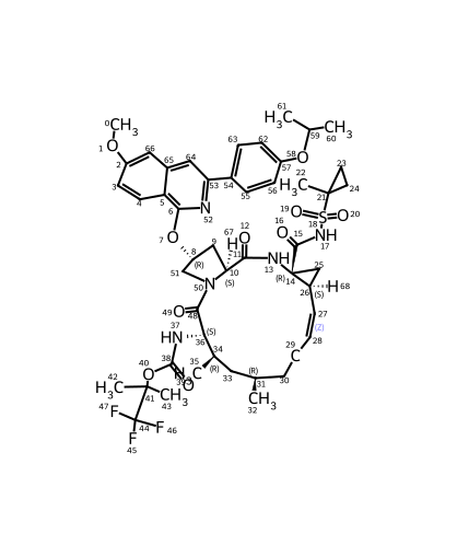 COc1ccc2c(O[C@@H]3C[C@H]4C(=O)N[C@]5(C(=O)NS(=O)(=O)C6(C)CC6)C[C@H]5/C=C\CC[C@@H](C)C[C@@H](C)[C@H](NC(=O)OC(C)(C)C(F)(F)F)C(=O)N4C3)nc(-c3ccc(OC(C)C)cc3)cc2c1